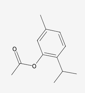 CC(=O)Oc1cc(C)ccc1C(C)C